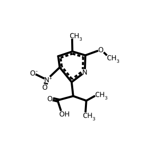 COc1nc(C(C(=O)O)C(C)C)c([N+](=O)[O-])cc1C